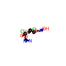 N#Cc1cncc(COc2cc(O[C@H]3CCc4c(-c5cccc(OCCCN6CC(O)C6)c5Cl)cccc43)c(Cl)cc2C=O)c1